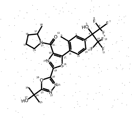 Cc1cc(C(O)(C(F)(F)F)C(F)(F)F)ccc1-c1sc(-c2nnc(C(C)(C)O)o2)nc1C(=O)N1CCCC1C